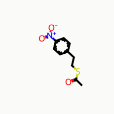 CC(=O)SCCc1ccc([N+](=O)[O-])cc1